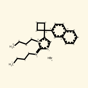 Br.CCCC/N=c1/scc(C2(c3ccc4ccccc4c3)CCC2)n1CCCC